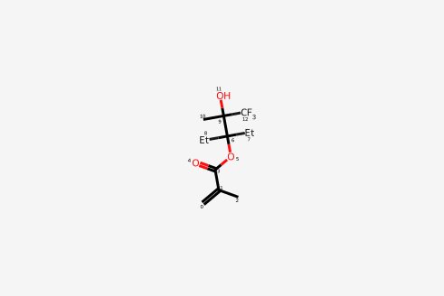 C=C(C)C(=O)OC(CC)(CC)C(C)(O)C(F)(F)F